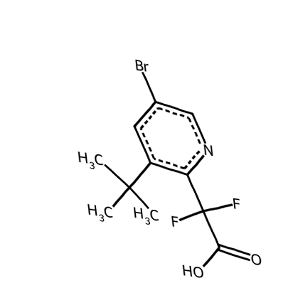 CC(C)(C)c1cc(Br)cnc1C(F)(F)C(=O)O